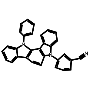 N#Cc1cccc(-n2c3ccccc3c3c2ccc2c4ccccc4n(-c4ccccc4)c23)c1